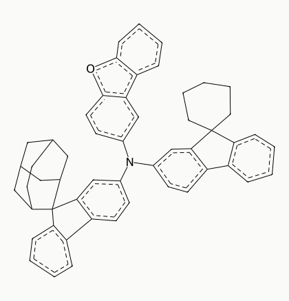 c1ccc2c(c1)-c1ccc(N(c3ccc4c(c3)C3(c5ccccc5-4)C4CCC5CC(C4)CC3C5)c3ccc4oc5ccccc5c4c3)cc1C21CCCCC1